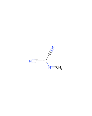 C=NC(C#N)C#N